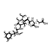 CN[C@H](C(=O)NC(C(=O)N(C)[C@H](/C=C(\C)C(=O)N[C@H](CCC(=O)O)C(=O)O)C(C)C)C(C)(C)C)C(C)(C)c1cc(C)cc(C)c1